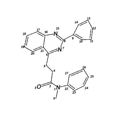 CN(C(=O)CCc1nc(-c2ccccc2)nc2ccccc12)c1ccccc1